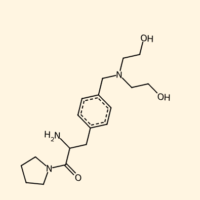 NC(Cc1ccc(CN(CCO)CCO)cc1)C(=O)N1CCCC1